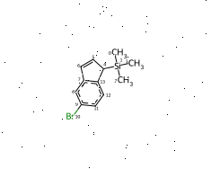 C[Si](C)(C)C1C=Cc2cc(Br)ccc21